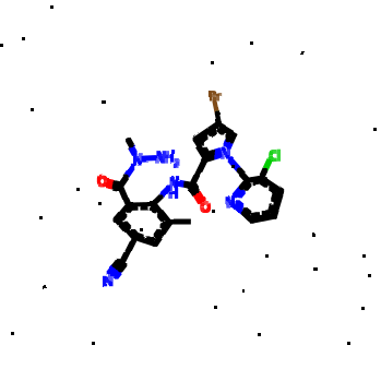 Cc1cc(C#N)cc(C(=O)N(C)N)c1NC(=O)c1cc(Br)cn1-c1ncccc1Cl